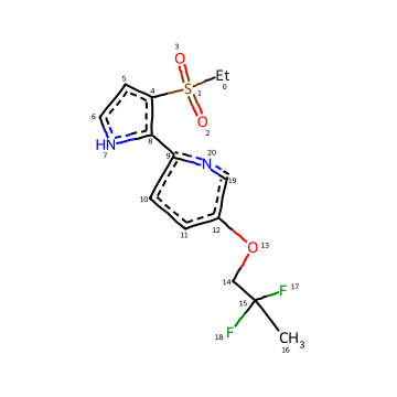 CCS(=O)(=O)c1cc[nH]c1-c1ccc(OCC(C)(F)F)cn1